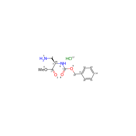 COC(=O)[C@@H](CN)NC(=O)OCc1ccccc1.Cl